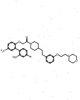 O=C(COc1ccc(C(F)(F)F)cc1-c1ccc(F)cc1O)N1CCC(CCc2cccc(OCCN3CCOCC3)c2)CC1